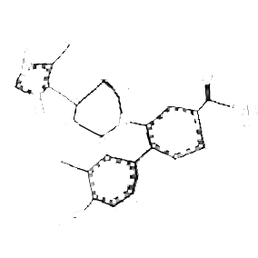 Cc1cc(-c2ccc(C(=O)O)cc2N2CCC(c3[nH]cnc3C)CC2)ccc1F